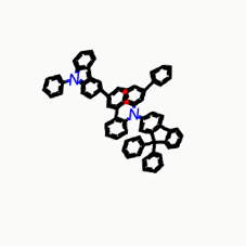 c1ccc(-c2cccc(N(c3ccc4c(c3)C(c3ccccc3)(c3ccccc3)c3ccccc3-4)c3ccccc3-c3cccc(-c4ccc5c(c4)c4ccccc4n5-c4ccccc4)c3)c2)cc1